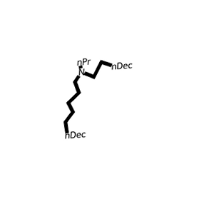 CCCCCCCCCCCCCCCN(CCC)CCCCCCCCCCCC